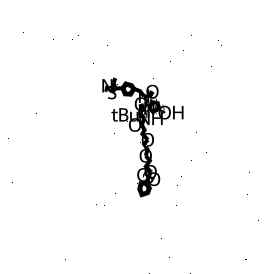 Cc1ncsc1-c1ccc(CNC(=O)[C@@H]2C[C@@H](O)CN2C(=O)[C@@H](NC(=O)CCOCCOCCOS(=O)(=O)c2ccccc2)C(C)(C)C)cc1